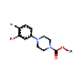 CC(C)(C)OC(=O)N1CCN(c2ccc(C#N)c(Br)c2)CC1